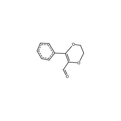 O=[C]C1=C(c2ccccc2)OCCO1